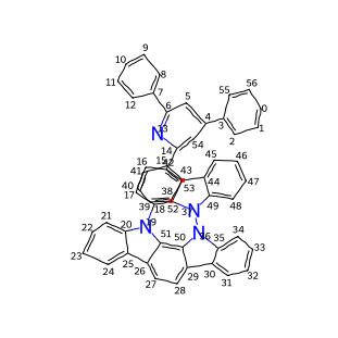 c1ccc(-c2cc(-c3ccccc3)nc(-c3ccc(-n4c5ccccc5c5ccc6c7ccccc7n(-n7c8ccccc8c8ccccc87)c6c54)cc3)c2)cc1